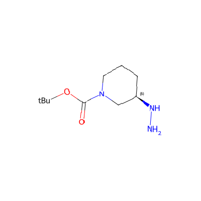 CC(C)(C)OC(=O)N1CCC[C@@H](NN)C1